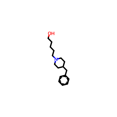 OCCCCCN1CCC(Cc2ccccc2)CC1